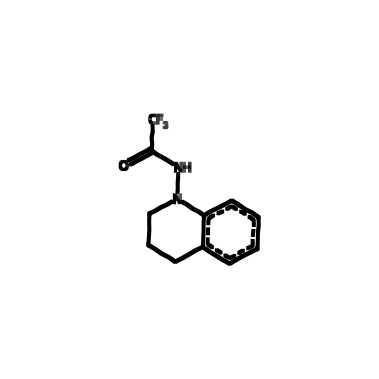 O=C(NN1CCCc2ccccc21)C(F)(F)F